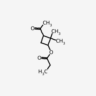 CCC(=O)OC1CC(C(C)=O)C1(C)C